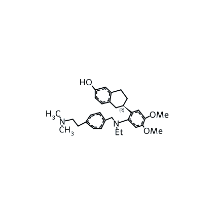 CCN(Cc1ccc(CCN(C)C)cc1)c1cc(OC)c(OC)cc1[C@@H]1CCc2cc(O)ccc2C1